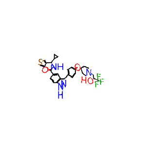 O=C(N[C@H](c1ccsc1)C1CC1)c1ccc2[nH]nc(-c3ccc(OC4CCN(CC(O)C(F)(F)F)CC4)cc3)c2c1